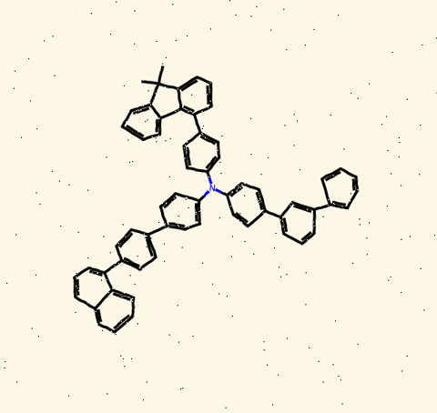 CC1(C)c2ccccc2-c2c(-c3ccc(N(c4ccc(-c5ccc(-c6cccc7ccccc67)cc5)cc4)c4ccc(-c5cccc(-c6ccccc6)c5)cc4)cc3)cccc21